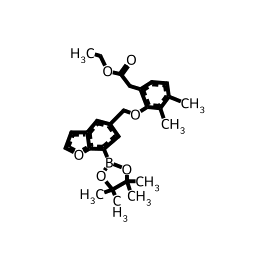 CCOC(=O)Cc1ccc(C)c(C)c1OCc1cc(B2OC(C)(C)C(C)(C)O2)c2occc2c1